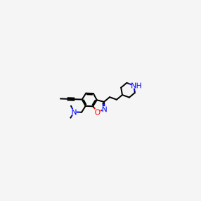 CC#Cc1ccc2c(CCC3CCNCC3)noc2c1CN(C)C